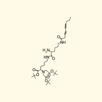 CCCC#CC#CCC(=O)NCCCCC(N)C(=O)NCCCCC(C(=O)OC(C)(C)C)N(CC(=O)OC(C)(C)C)CC(=O)OC(C)(C)C